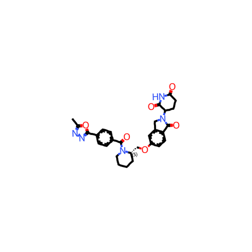 Cc1nnc(-c2ccc(C(=O)N3CCCC[C@H]3COc3ccc4c(c3)CN(C3CCC(=O)NC3=O)C4=O)cc2)o1